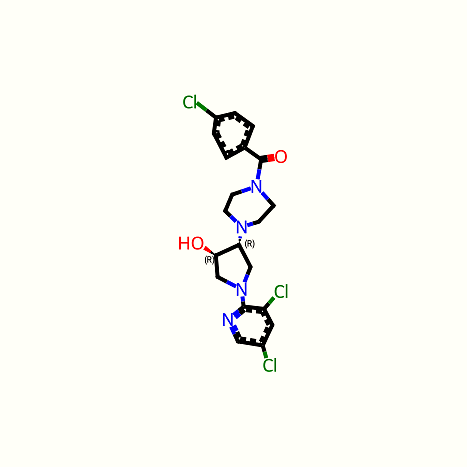 O=C(c1ccc(Cl)cc1)N1CCN([C@@H]2CN(c3ncc(Cl)cc3Cl)C[C@H]2O)CC1